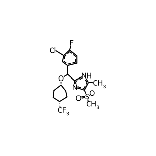 Cc1[nH]c(C(O[C@H]2CC[C@@H](C(F)(F)F)CC2)c2ccc(F)c(Cl)c2)nc1S(C)(=O)=O